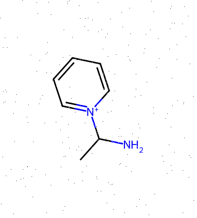 CC(N)[n+]1ccccc1